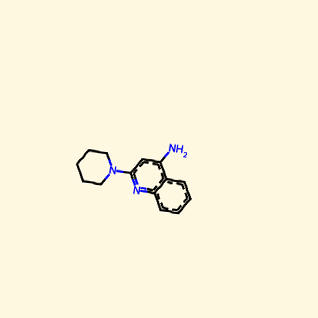 Nc1cc(N2CCCCC2)nc2ccccc12